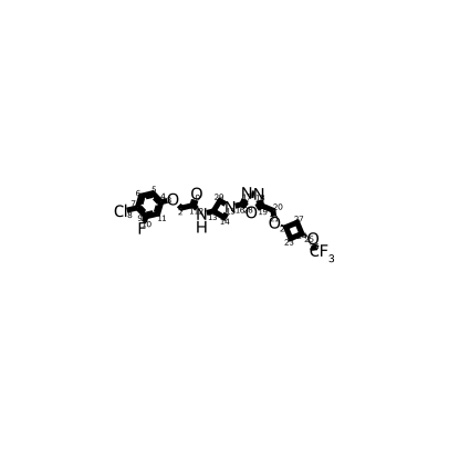 O=C(COc1ccc(Cl)c(F)c1)NC1CN(c2nnc(CO[C@H]3C[C@@H](OC(F)(F)F)C3)o2)C1